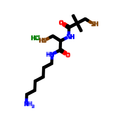 CC(C)(CS)C(=O)NC(CS)C(=O)NCCCCCCN.Cl